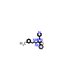 Cc1cccc(CC(N)C(N)c2nc(-c3ccncc3)nc3sc4c(c23)CCCC4)c1